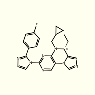 CC[C@@H]1c2nncn2-c2cnc(-n3ccnc3-c3ccc(F)cc3)nc2N1CC1CC1